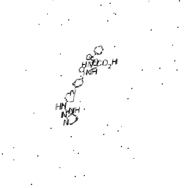 O=C(O)CC(NC(=O)c1ccc(N2CCC(Nc3nc4ncccc4[nH]3)CC2)cc1)NS(=O)(=O)c1ccccc1